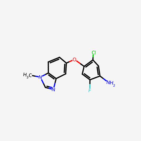 Cn1cnc2cc(Oc3cc(F)c(N)cc3Cl)ccc21